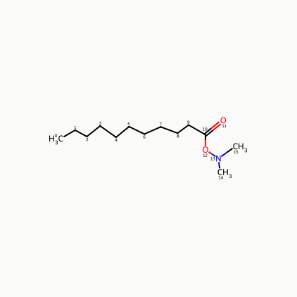 CCCCCCCCCCC(=O)ON(C)C